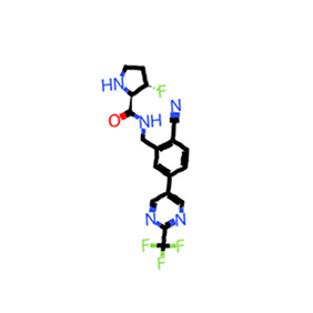 N#Cc1ccc(-c2cnc(C(F)(F)F)nc2)cc1CNC(=O)[C@H]1NCC[C@@H]1F